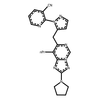 CCCc1c(Cc2ccnn2-c2ncccc2C#N)ncn2nc(N3CCCC3)nc12